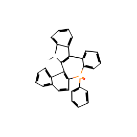 CCB1C2=C(c3ccccc31)c1ccccc1P(=O)(c1ccccc1)c1ccc3ccccc3c12